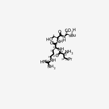 CC[C@H](C)[C@H](NC(=O)[C@H](CO)NC(=O)[C@H](CCCNC(=N)N)NC(=O)[C@@H](N)CC(C)C)C(=O)O